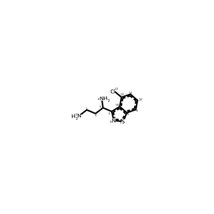 NCCC(N)c1nsc2cccc(Cl)c12